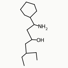 CCC(CC)CC(O)CC(N)C1CCCCC1